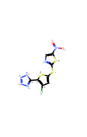 O=[N+]([O-])c1cnc(Sc2cc(Cl)c(-c3nnn[nH]3)s2)s1